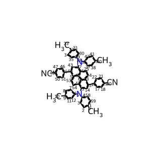 Cc1ccc(N(c2ccc(C)cc2)c2cc(-c3ccc(C#N)cc3)c3ccc4c(N(c5ccc(C)cc5)c5ccc(C)cc5)cc(-c5ccc(C#N)cc5)c5ccc2c3c54)cc1